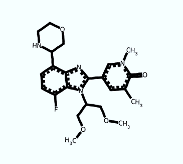 COCC(COC)n1c(-c2cc(C)c(=O)n(C)c2)nc2c(C3COCCN3)ccc(F)c21